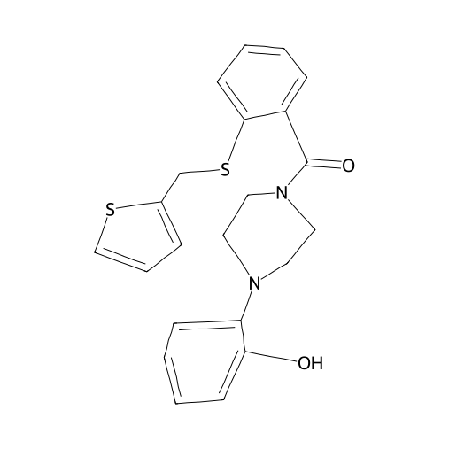 O=C(c1ccccc1SCc1cccs1)N1CCN(c2ccccc2O)CC1